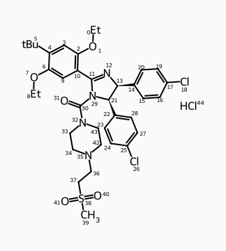 CCOc1cc(C(C)(C)C)c(OCC)cc1C1=N[C@@H](c2ccc(Cl)cc2)[C@@H](c2ccc(Cl)cc2)N1C(=O)N1CCN(CCS(C)(=O)=O)CC1.Cl